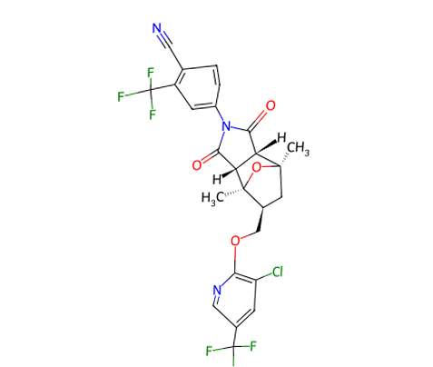 C[C@]12O[C@](C)(C[C@H]1COc1ncc(C(F)(F)F)cc1Cl)[C@H]1C(=O)N(c3ccc(C#N)c(C(F)(F)F)c3)C(=O)[C@H]12